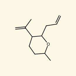 C=CCC1OC(C)CCC1C(=C)C